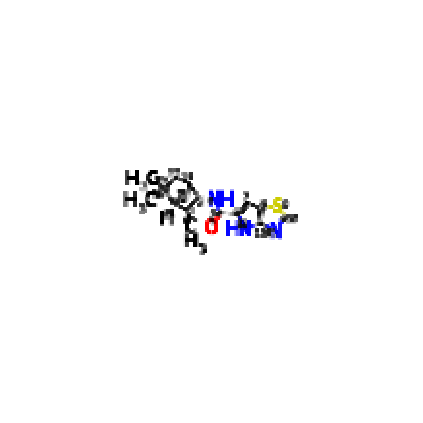 C[C@@H]1[C@@H](NC(=O)c2cc3scnc3[nH]2)C2C[C@@H]1C(C)(C)C2